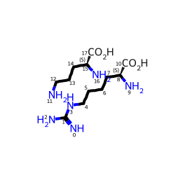 N=C(N)NCCCC[C@H](N)C(=O)O.NCCC[C@H](N)C(=O)O